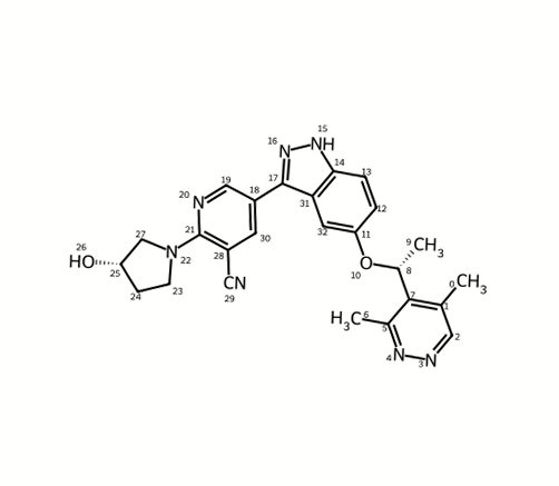 Cc1cnnc(C)c1[C@@H](C)Oc1ccc2[nH]nc(-c3cnc(N4CC[C@H](O)C4)c(C#N)c3)c2c1